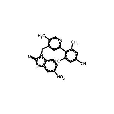 Cc1cnc(-c2c(C)cc(C#N)cc2C)cc1Cn1c(=O)oc2cc([N+](=O)[O-])ccc21